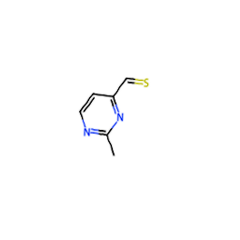 Cc1nccc(C=S)n1